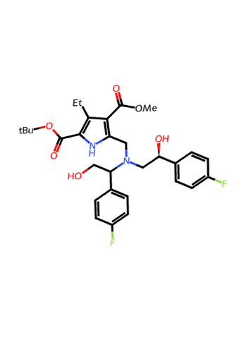 CCc1c(C(=O)OC(C)(C)C)[nH]c(CN(C[C@@H](O)c2ccc(F)cc2)C(CO)c2ccc(F)cc2)c1C(=O)OC